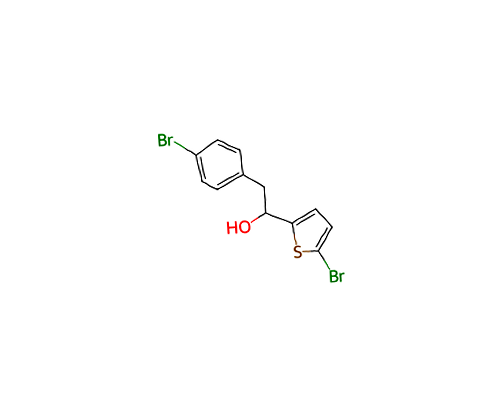 OC(Cc1ccc(Br)cc1)c1ccc(Br)s1